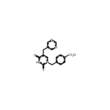 CCOC(=O)c1ccc(Cn2cc(Cc3cncnc3)c(=O)[nH]c2=S)cc1